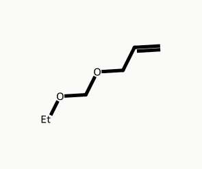 C=CCOCOCC